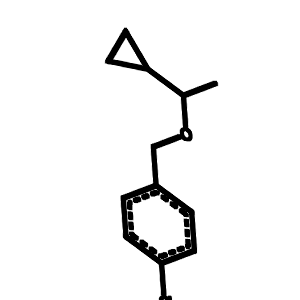 CC(OCc1ccc(Cl)cc1)C1CC1